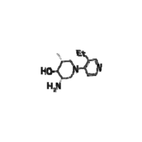 CCc1cnccc1N1C[C@@H](C)[C@H](O)[C@@H](N)C1